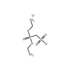 CCOP(=O)(CS(=O)(=O)[O-])OCC.[Li+]